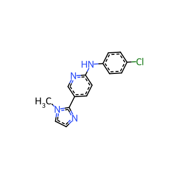 Cn1ccnc1-c1ccc(Nc2ccc(Cl)cc2)nc1